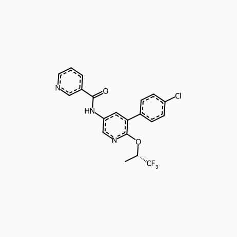 C[C@H](Oc1ncc(NC(=O)c2cccnc2)cc1-c1ccc(Cl)cc1)C(F)(F)F